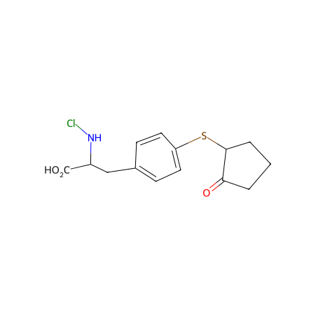 O=C(O)C(Cc1ccc(SC2CCCC2=O)cc1)NCl